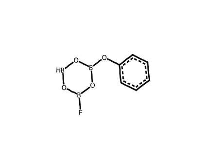 FB1OBOB(Oc2ccccc2)O1